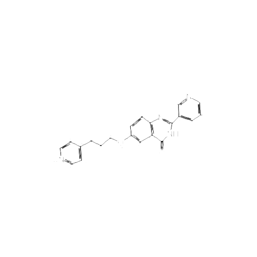 O=c1[nH]c(-c2cccnc2)nc2ccc(OCCCc3ccncc3)cc12